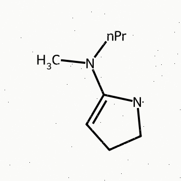 CCCN(C)C1=CCC[N]1